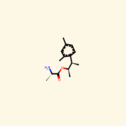 Cc1ccc([C@@H](C)[C@@H](C)OC(=O)[C@H](C)N)c(C)c1